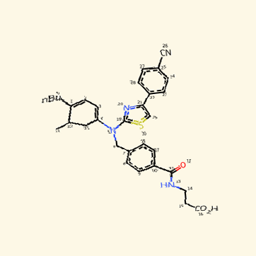 CCCCC1=CC=C(N(Cc2ccc(C(=O)NCCC(=O)O)cc2)c2nc(-c3ccc(C#N)cc3)cs2)CC1C